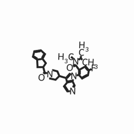 CC(C)N(C)C(=O)c1cc(F)ccc1-n1cc(C2CCN(C(=O)C3Cc4ccccc4C3)CC2)c2ccncc21